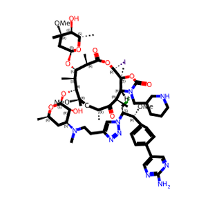 CO[C@H](c1ccc(-c2cnc(N)nc2)cc1)[C@@H](CF)n1cc(CCN(C)[C@H]2C[C@@H](C)O[C@@H](O[C@@H]3[C@@H](C)[C@H](O[C@H]4C[C@@](C)(OC)[C@@H](O)[C@H](C)O4)[C@@H](C)C(=O)O[C@H](I)[C@@]4(C)OC(=O)N(CC5CCCNC5)[C@@H]4[C@@H](C)C(=O)[C@H](C)C[C@@]3(C)OC)[C@@H]2O)nn1